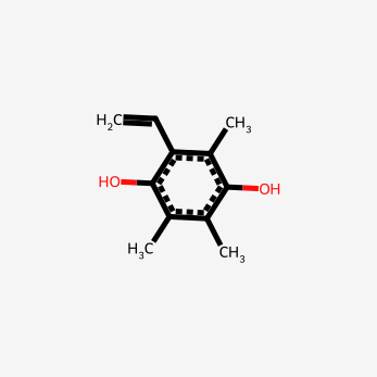 C=Cc1c(C)c(O)c(C)c(C)c1O